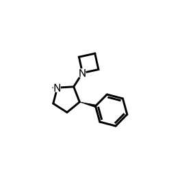 c1ccc([C@H]2CC[N]C2N2CCC2)cc1